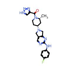 C[C@@H]1C[C@H](N2Cc3cnc(Nc4ccc(F)cc4)nc3C2)CCN1C(=O)c1c[nH]nn1